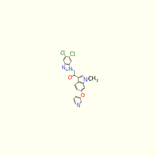 Cn1cc(C(=O)Cn2cnc3cc(Cl)c(Cl)cc32)c2ccc(Oc3cccnc3)cc21